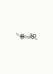 CCCCCC1COC(C2CCC(C3CC=C(c4ccc(CCCC)c(Cl)c4F)CC3)CC2)OC1